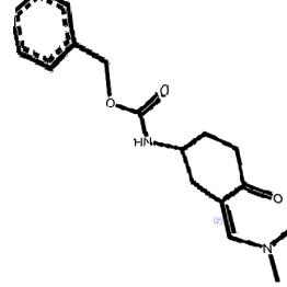 CN(C)/C=C1/CC(NC(=O)OCc2ccccc2)CCC1=O